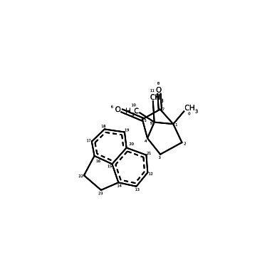 CC12CCC(C(=O)C1=O)C2(C)C.c1cc2c3c(cccc3c1)CC2